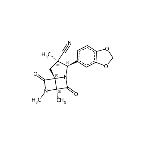 CN1C(=O)[C@]23C[C@@](C)(C#N)[C@@H](c4ccc5c(c4)OCO5)N2C(=O)[C@@]13C